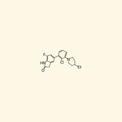 CCC1CCN(c2cccc(-c3cc(F)c4c(c3)CC(=O)N4)c2Cl)CC1